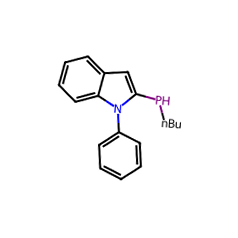 CCCCPc1cc2ccccc2n1-c1ccccc1